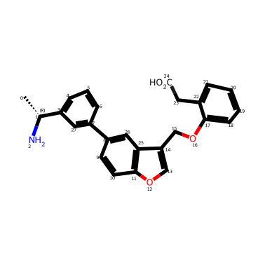 C[C@@H](N)c1cccc(-c2ccc3occ(COc4ccccc4CC(=O)O)c3c2)c1